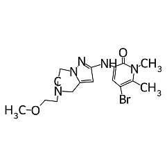 COCCN1CCn2nc(Nc3cc(Br)c(C)n(C)c3=O)cc2C1